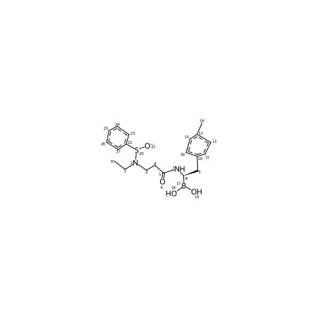 CCN(CCC(=O)N[C@@H](Cc1ccc(C)cc1)B(O)O)[S+]([O-])c1ccccc1